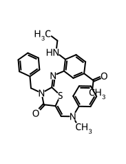 CCNc1ccc(C(C)=O)cc1/N=C1\SC(=CN(C)c2ccccc2)C(=O)N1Cc1ccccc1